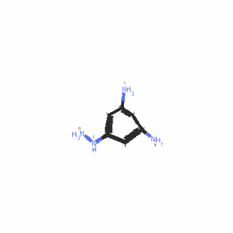 NNc1cc(N)cc(N)c1